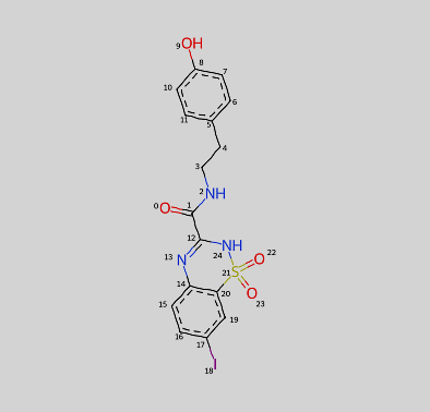 O=C(NCCc1ccc(O)cc1)C1=Nc2ccc(I)cc2S(=O)(=O)N1